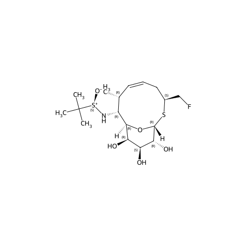 C[C@@H]1C=CC[C@@H](CF)S[C@H]2O[C@@H]([C@H](O)[C@H](O)[C@H]2O)[C@@H]1N[S@+]([O-])C(C)(C)C